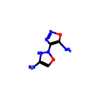 NC1=CON(c2nnoc2N)N1